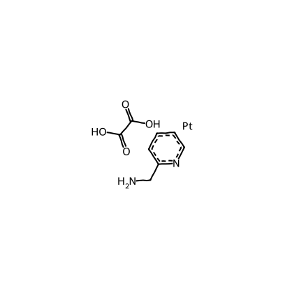 NCc1ccccn1.O=C(O)C(=O)O.[Pt]